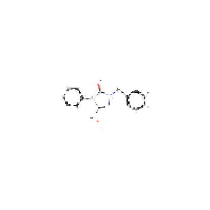 O=C1C(c2ccccc2)C(CO)CN1Cc1ccccc1